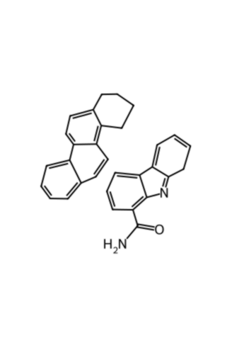 NC(=O)c1cccc2c1N=C1CC=CC=C12.c1ccc2c(c1)ccc1c3c(ccc12)CCCC3